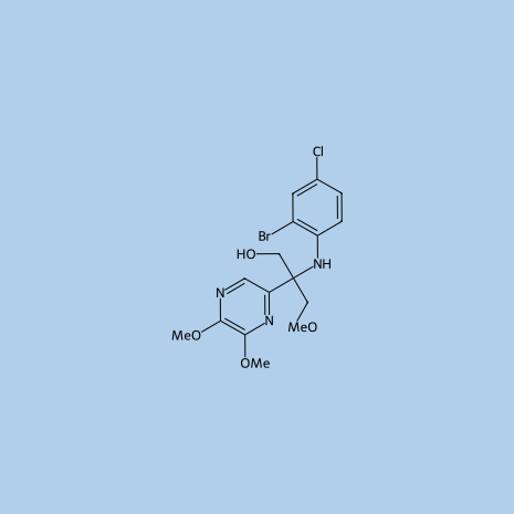 COCC(CO)(Nc1ccc(Cl)cc1Br)c1cnc(OC)c(OC)n1